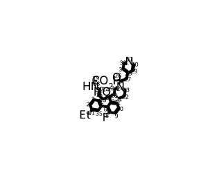 CCc1cccc(-c2c(F)cccc2[C@](O)(CCCNC(=O)O)[C@@H]2CCCN(C(=O)Cc3ccncc3)C2)c1